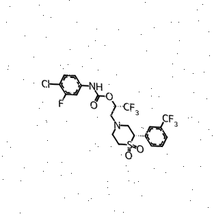 O=C(Nc1ccc(Cl)c(F)c1)O[C@@H](CN1CCS(=O)(=O)[C@@H](c2cccc(C(F)(F)F)c2)C1)C(F)(F)F